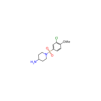 COc1ccc(S(=O)(=O)N2CCC(N)CC2)cc1Cl